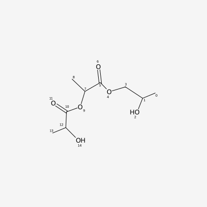 CC(O)COC(=O)C(C)OC(=O)C(C)O